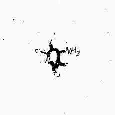 Nc1c(F)c(Cl)nc(Cl)c1I